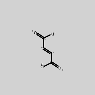 O=C(Cl)C=CC(=O)Cl